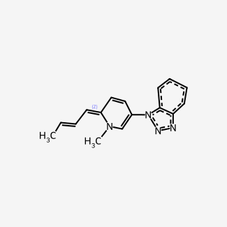 CC=C/C=C1/C=CC(n2nnc3ccccc32)=CN1C